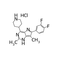 Cc1nc(C2CCNCC2)c2nc(-c3ccc(F)c(F)c3)c(C)c-2[nH]1.Cl